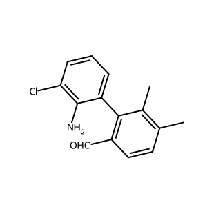 Cc1ccc(C=O)c(-c2cccc(Cl)c2N)c1C